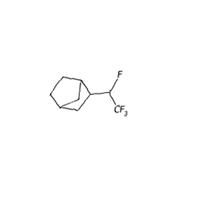 F[C](C1CC2CCC1C2)C(F)(F)F